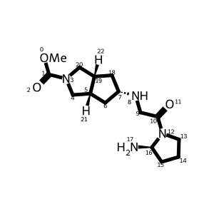 COC(=O)N1C[C@H]2C[C@@H](NCC(=O)N3CCC[C@H]3N)C[C@H]2C1